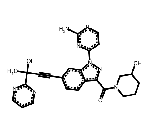 CC(O)(C#Cc1ccc2c(C(=O)N3CCCC(O)C3)nn(-c3ccnc(N)n3)c2c1)c1ncccn1